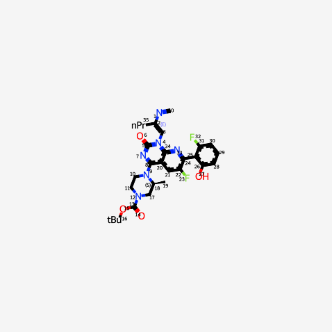 C=N/C(=C/n1c(=O)nc(N2CCN(C(=O)OC(C)(C)C)C[C@@H]2C)c2cc(F)c(-c3c(O)cccc3F)nc21)CCC